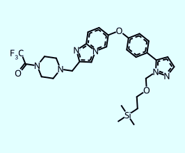 C[Si](C)(C)CCOCn1nccc1-c1ccc(Oc2ccc3nc(CN4CCN(C(=O)C(F)(F)F)CC4)cn3c2)cc1